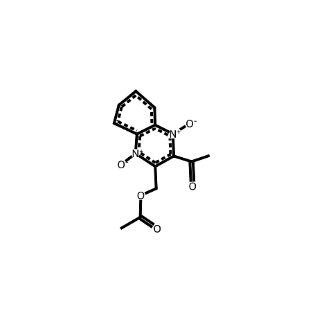 CC(=O)OCc1c(C(C)=O)[n+]([O-])c2ccccc2[n+]1[O-]